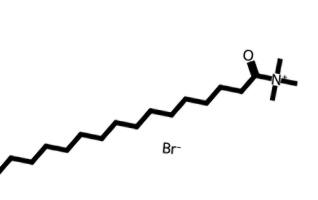 CCCCCCCCCCCCCCCC(=O)[N+](C)(C)C.[Br-]